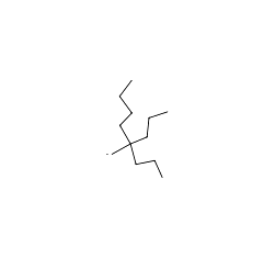 [CH2]C(CCC)(CCC)CCCC